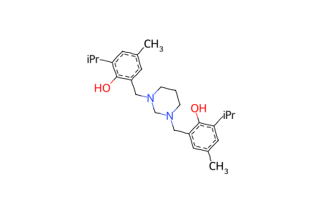 Cc1cc(CN2CCCN(Cc3cc(C)cc(C(C)C)c3O)C2)c(O)c(C(C)C)c1